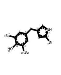 CC(C)(C)c1cc(Cc2c[nH]c(Br)c2)cc(C(C)(C)C)c1O